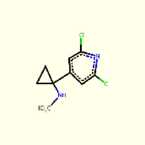 O=C(O)NC1(c2cc(Cl)nc(Cl)c2)CC1